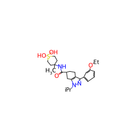 CCOc1cccc(-c2nn(C(C)C)c3c2CCC(C(=O)NC2(C)CCS(O)(O)CC2)C3)c1